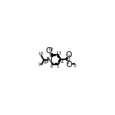 COC(=O)c1ccn(C(C)C)c(=O)c1